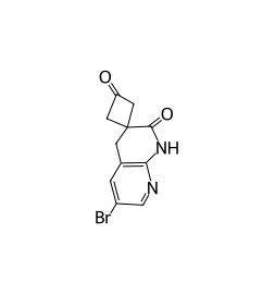 O=C1CC2(C1)Cc1cc(Br)cnc1NC2=O